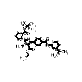 CCOC(=O)c1c(-c2ccc(C(=O)Nc3cc(C(C)C)ccn3)cc2)nc([C@@H]2CCCN2C(=O)OC(C)(C)C)n1N